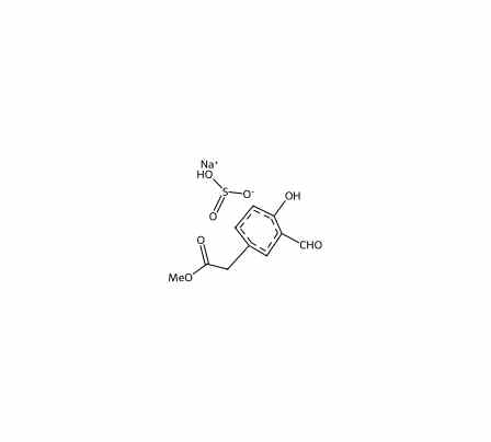 COC(=O)Cc1ccc(O)c(C=O)c1.O=S([O-])O.[Na+]